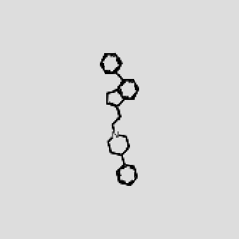 C1=C(CCN2CCC(c3ccccc3)CC2)c2cccc(-c3ccccc3)c2C1